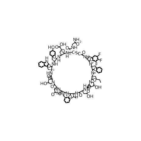 CCCC[C@H]1C(=O)N2C[C@H](O)C[C@@H]2C(=O)N[C@@H](CC(=O)O)C(=O)N[C@@H](C(C)C)C(=O)N(C)[C@@H](Cc2ccccc2)C(=O)N[C@@H](CC(N)=O)C(=O)N2C[C@H](O)C[C@H]2C(=O)N[C@@H](Cc2c[nH]c3ccccc23)C(=O)N[C@@H](Cc2ccc(O)cc2)C(=O)N[C@@H](CCC(=O)O)C(=O)N[C@H](C(=O)NCC(N)=O)CSCC(=O)N[C@@H](Cc2cc(F)c(F)c(F)c2)C(=O)N(C)[C@@H](Cc2ccccc2)C(=O)N1C